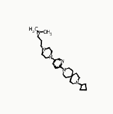 CN(C)CCCN1CCN(c2ccc(N3CCC4(CC3)CCN(C3CCC3)CC4)nc2)CC1